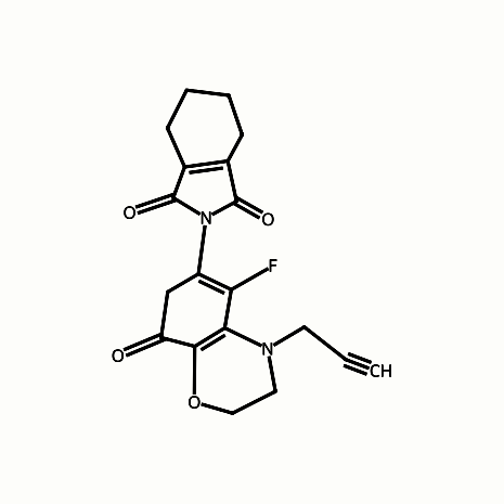 C#CCN1CCOC2=C1C(F)=C(N1C(=O)C3=C(CCCC3)C1=O)CC2=O